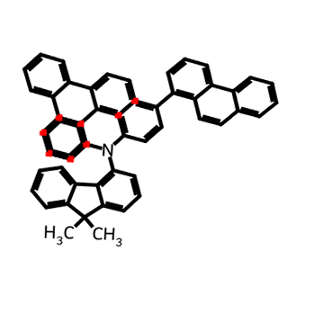 CC1(C)c2ccccc2-c2c(N(c3ccc(-c4cccc5c4ccc4ccccc45)cc3)c3ccccc3-c3ccccc3-c3ccccc3-c3ccccc3)cccc21